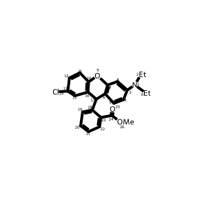 CCN(CC)c1ccc2c(c1)Oc1ccc(Cl)cc1C2c1ccccc1C(=O)OC